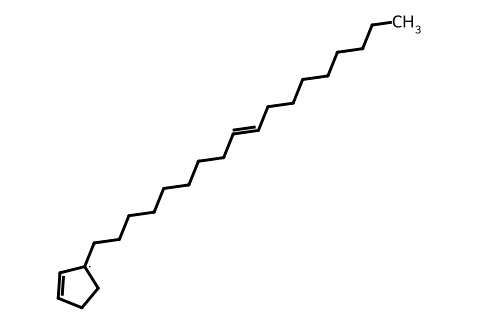 CCCCCCCC/C=C/CCCCCCCC[C]1C=CCC1